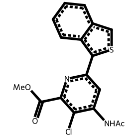 COC(=O)c1nc(-c2scc3ccccc23)cc(NC(C)=O)c1Cl